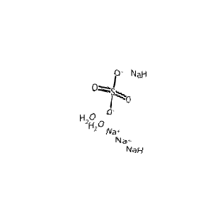 O.O.O=S(=O)([O-])[O-].[Na+].[Na+].[NaH].[NaH]